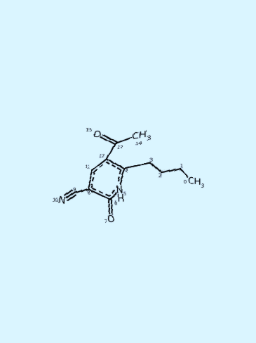 CCCCc1[nH]c(=O)c(C#N)cc1C(C)=O